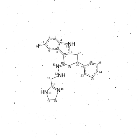 Fc1ccc2[nH]c3c(c2c1)C(=NNCC1=NCCN1)CC(c1ccccc1)C3